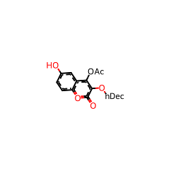 CCCCCCCCCCOc1c(OC(C)=O)c2cc(O)ccc2oc1=O